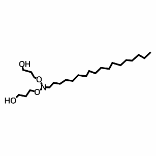 CCCCCCCCCCCCCCCCCCN(OCCCO)OCCCO